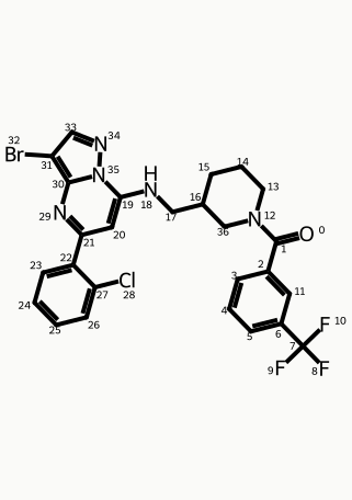 O=C(c1cccc(C(F)(F)F)c1)N1CCCC(CNc2cc(-c3ccccc3Cl)nc3c(Br)cnn23)C1